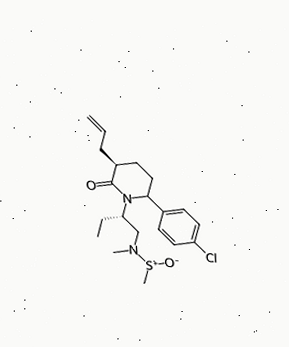 C=CC[C@H]1CCC(c2ccc(Cl)cc2)N([C@@H](CC)CN(C)[S+](C)[O-])C1=O